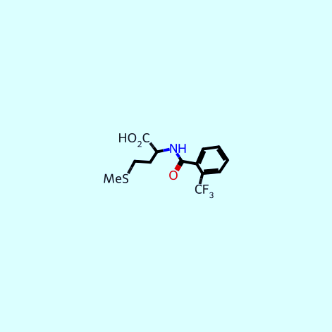 CSCCC(NC(=O)c1ccccc1C(F)(F)F)C(=O)O